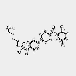 CCCCCCS(=O)(=O)Nc1ccc(N2CCN(C(=O)c3cc(Cl)ccc3Cl)CC2)nc1